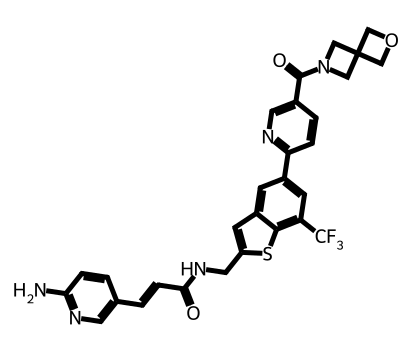 Nc1ccc(/C=C/C(=O)NCc2cc3cc(-c4ccc(C(=O)N5CC6(COC6)C5)cn4)cc(C(F)(F)F)c3s2)cn1